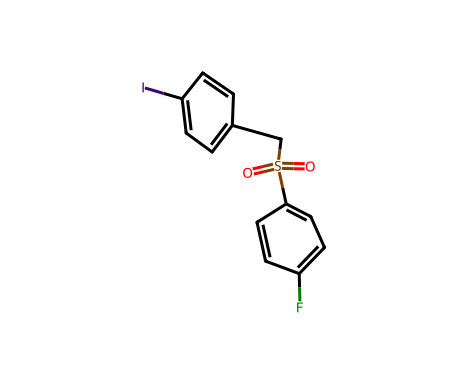 O=S(=O)(Cc1ccc(I)cc1)c1ccc(F)cc1